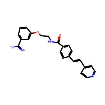 N=C(N)c1cccc(OCCNC(=O)c2ccc(/C=C/c3ccncc3)cc2)c1